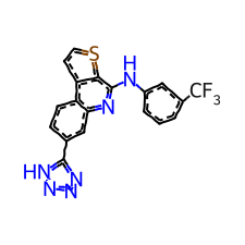 FC(F)(F)c1cccc(Nc2nc3cc(-c4nnn[nH]4)ccc3c3ccsc23)c1